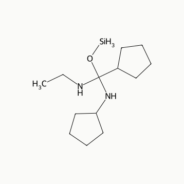 CCNC(NC1CCCC1)(O[SiH3])C1CCCC1